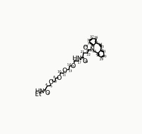 CCNC(=O)CCOCCOCCOCCOCCNC(=O)CCC(=O)N1Cc2ccccc2C#Cc2ccccc21